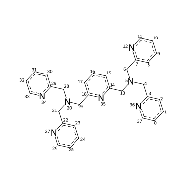 c1ccc(CN(Cc2ccccn2)Cc2cccc(CN(Cc3ccccn3)Cc3ccccn3)n2)nc1